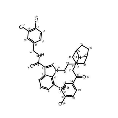 COc1cccc2c(C(=O)NCc3ccc(Cl)c(Cl)c3)cn(CCCN3C4CCC3CN(CC(=O)c3ccc(Cl)cc3)C4)c12